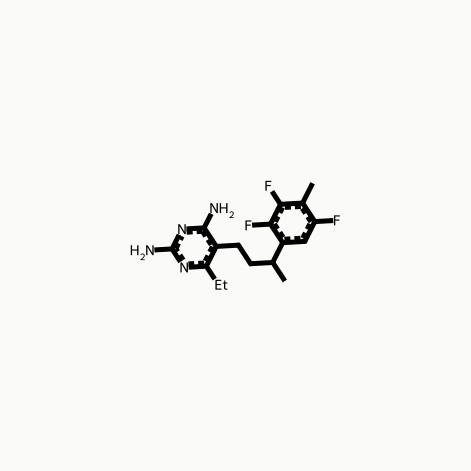 CCc1nc(N)nc(N)c1CCC(C)c1cc(F)c(C)c(F)c1F